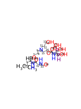 CC(C)C[C@H](BOCCCN(CCCO)CCOC(=O)NC(PO)P(O)OO)NC(=O)CNC=O